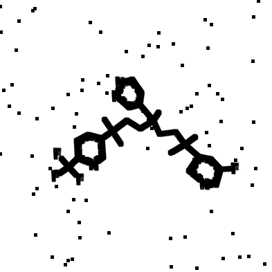 CC(C)(CCC(C)(CCC(C)(C)c1cncc(F)c1)c1ccnnc1)c1ccc(C(F)(F)F)nc1